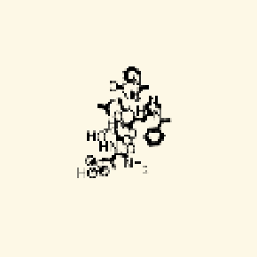 CC(=O)N1CCC[C@H]1C(=O)N[C@@H](CC(C)C)C(=O)N[C@@H](Cc1cncn1C(C)c1ccccc1)C(=O)N[C@@H](CO)C(=O)N[C@H](C(N)=O)[C@@H](C)CS(=O)(=O)O